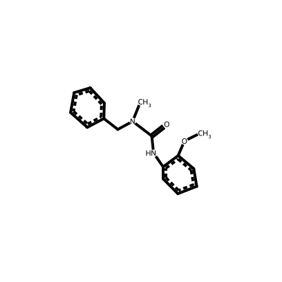 COc1ccccc1NC(=O)N(C)Cc1ccccc1